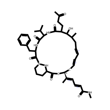 CNC(=O)/C=C/C=C(\C)[C@@H]1C/C=C/C=C/CC(C)C(O)C(CCC(C)=O)C(=O)NC(C(C)C)C(=O)NC(Cc2ccccc2)C(=O)N2CCCC(N2)C(=O)O1